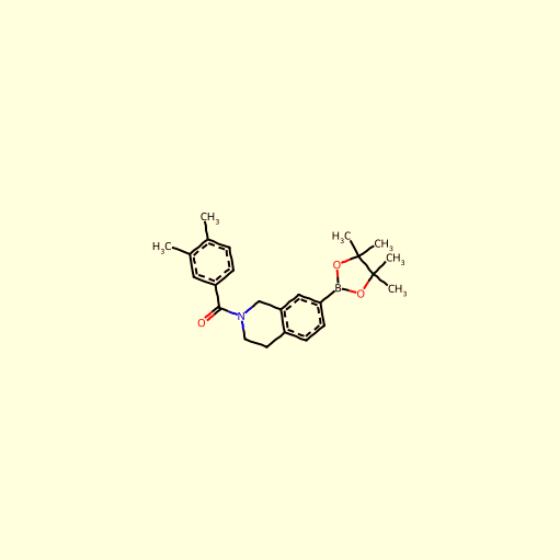 Cc1ccc(C(=O)N2CCc3ccc(B4OC(C)(C)C(C)(C)O4)cc3C2)cc1C